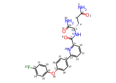 NC(=O)CC[C@H](NC(=O)c1cccc(-c2ccc(Oc3ccc(F)cc3)cc2)n1)C(N)=O